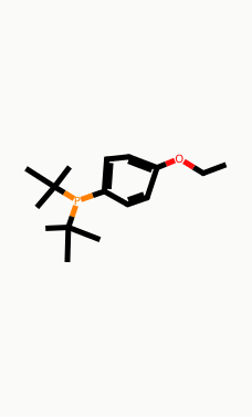 CCOc1ccc(P(C(C)(C)C)C(C)(C)C)cc1